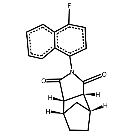 O=C1[C@@H]2[C@@H]3CC[C@@H](C3)[C@@H]2C(=O)N1c1ccc(F)c2ccccc12